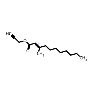 C#CCOC(=O)/C=C(\C)CCCCCCCC